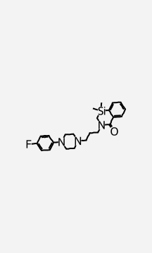 C[Si]1(C)CN(CCCN2CCN(c3ccc(F)cc3)CC2)C(=O)c2ccccc21